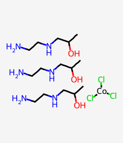 CC(O)CNCCN.CC(O)CNCCN.CC(O)CNCCN.[Cl][Co]([Cl])[Cl]